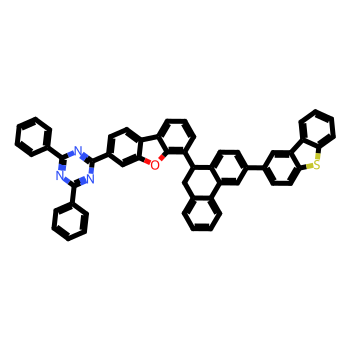 c1ccc(-c2nc(-c3ccccc3)nc(-c3ccc4c(c3)oc3c(C5Cc6ccccc6-c6cc(-c7ccc8sc9ccccc9c8c7)ccc65)cccc34)n2)cc1